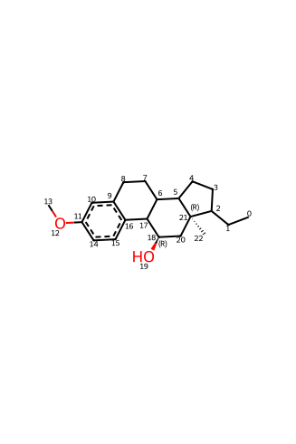 CCC1CCC2C3CCc4cc(OC)ccc4C3[C@H](O)C[C@]12C